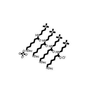 CCCCCCCCCCCCCCCC(=O)NCCC[N+](C)(C)C.CCCCCCCCCCCCCCCC(=O)NCCC[N+](C)(C)C.CCCCCCCCCCCCCCCC(=O)NCCC[N+](C)(C)C.CCCCCCCCCCCCCCCC(=O)NCCC[N+](C)(C)C.O=P([O-])([O-])[O-].[Cl-]